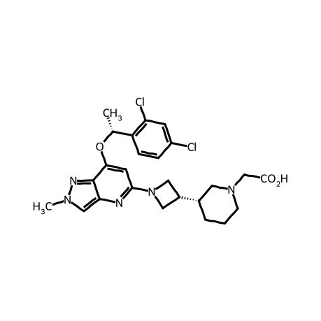 C[C@@H](Oc1cc(N2CC([C@H]3CCCN(CC(=O)O)C3)C2)nc2cn(C)nc12)c1ccc(Cl)cc1Cl